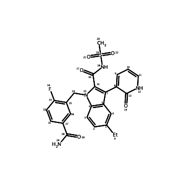 CCc1ccc2c(c1)c(-c1ccc[nH]c1=O)c(C(=O)NS(C)(=O)=O)n2Cc1cc(C(N)=O)ccc1F